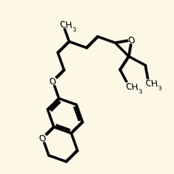 CCC1(CC)OC1CCC(C)CCOc1ccc2c(c1)OCCC2